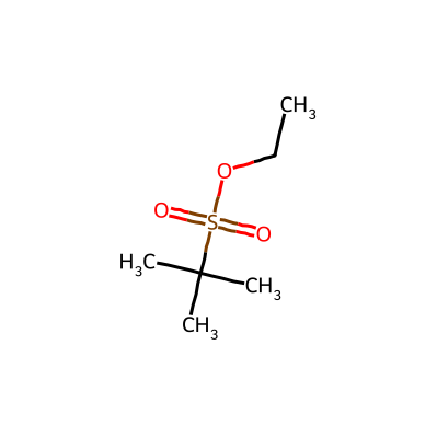 CCOS(=O)(=O)C(C)(C)C